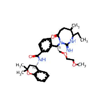 CCC1NC(=N)N([C@H](COCCOC)c2cccc(C(=O)N[C@H]3CC(C)(C)Oc4ccccc43)c2)C(=O)CCC1C